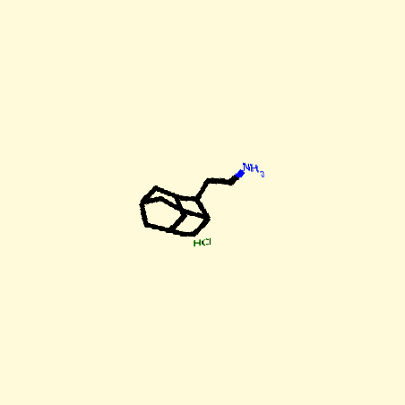 Cl.NCCC1C2CC3CC(C2)CC1C3